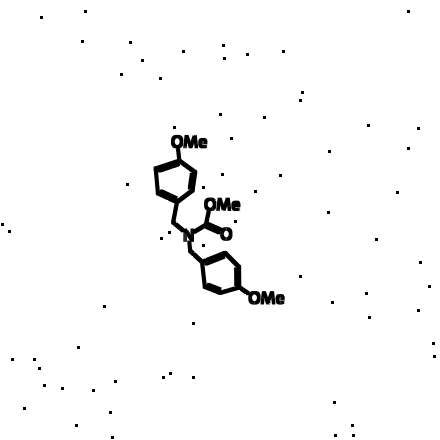 COC(=O)N(Cc1ccc(OC)cc1)Cc1ccc(OC)cc1